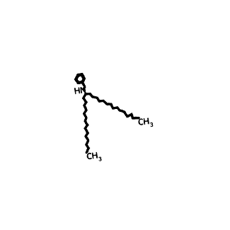 CCCCCCCCCCCCCCCCC(CCCCCCCCCCCCCCCC)NCc1ccccc1